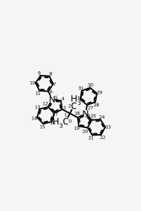 CC(C)(c1cn(-c2ccccc2)c2ccccc12)c1cc2ccccc2n1-c1ccccc1